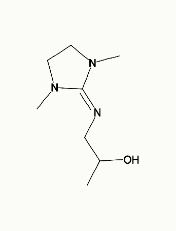 CC(O)CN=C1N(C)CCN1C